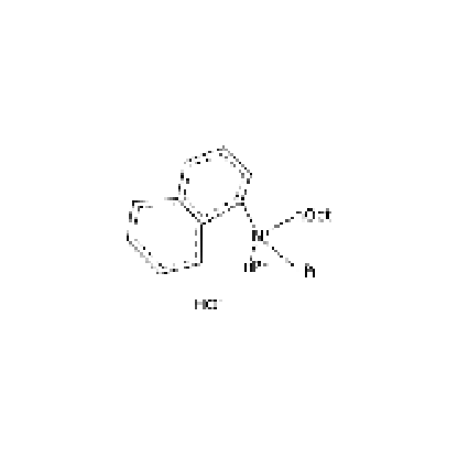 CCCCCCCC[N+](CCC)(CCC)c1cccc2ccccc12.[OH-]